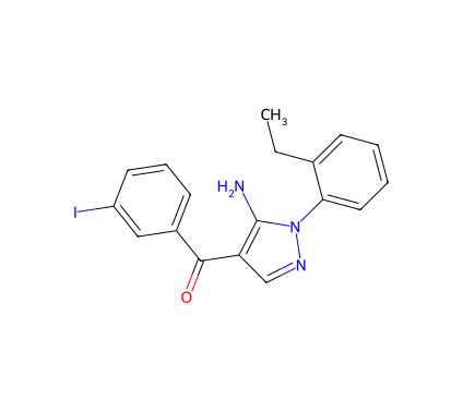 CCc1ccccc1-n1ncc(C(=O)c2cccc(I)c2)c1N